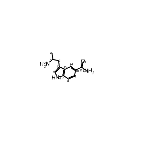 CC(N)Cc1c[nH]c2ccc(C(N)=O)cc12